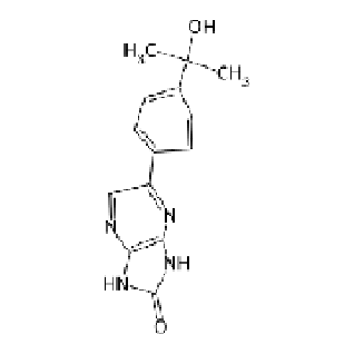 CC(C)(O)c1ccc(-c2cnc3[nH]c(=O)[nH]c3n2)cc1